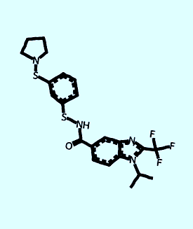 CC(C)n1c(C(F)(F)F)nc2cc(C(=O)NSc3cccc(SN4CCCC4)c3)ccc21